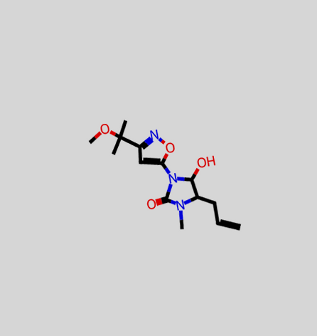 C=CCC1C(O)N(c2cc(C(C)(C)OC)no2)C(=O)N1C